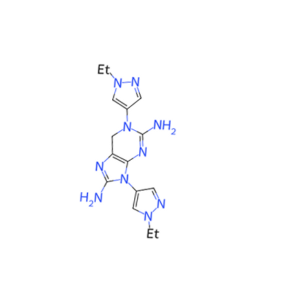 CCn1cc(N2Cc3nc(N)n(-c4cnn(CC)c4)c3N=C2N)cn1